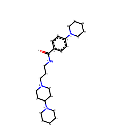 O=C(NCCCN1CCC(N2CCCCC2)CC1)c1ccc(N2CCCCC2)cc1